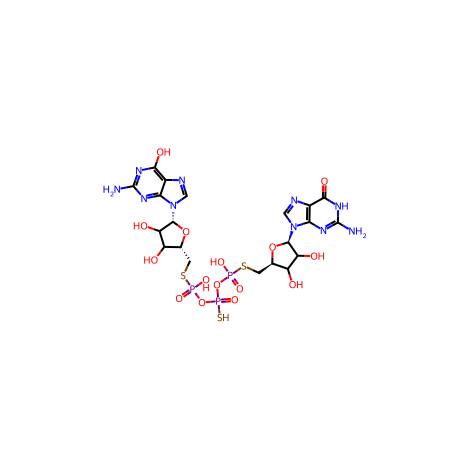 Nc1nc(O)c2ncn([C@@H]3O[C@H](CSP(=O)(O)OP(=O)(S)OP(=O)(O)SC[C@H]4O[C@@H](n5cnc6c(=O)[nH]c(N)nc65)C(O)C4O)C(O)C3O)c2n1